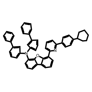 c1ccc(-c2cccc(N(c3cccc(-c4ccccc4)c3)c3cccc4c3oc3c(-c5cccc(-c6ccc(C7CCCCC7)cc6)n5)cccc34)c2)cc1